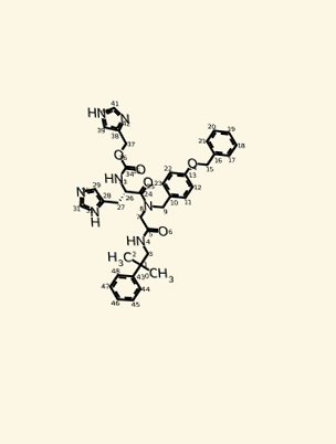 CC(C)(CNC(=O)CN(Cc1ccc(OCc2ccccc2)cc1)C(=O)[C@H](Cc1cnc[nH]1)NC(=O)OCc1c[nH]cn1)c1ccccc1